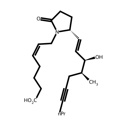 CCCC#CC[C@H](C)[C@H](O)/C=C/[C@H]1CCC(=O)N1C/C=C\CCCC(=O)O